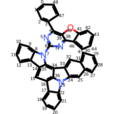 c1ccc(-c2nc(-n3c4ccccc4c4cc5c6ccccc6n6c7cc8ccccc8cc7c(c43)c56)nc3c2oc2ccccc23)cc1